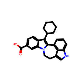 O=C(O)c1ccc2c(C3CCCCC3)c3n(c2c1)CCc1c[nH]c2cccc-3c12